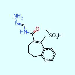 CC1=C(C(=O)NC=NN)CCCc2ccccc21.CS(=O)(=O)O